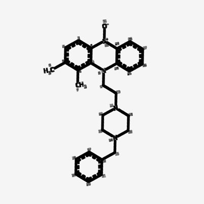 Cc1ccc2c(c1C)N(CCN1CCN(Cc3ccccc3)CC1)c1ccccc1[S+]2[O-]